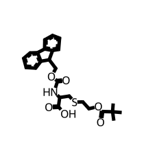 CC(C)(C)C(=O)OCCSCC(NC(=O)OCC1c2ccccc2-c2ccccc21)C(=O)O